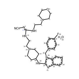 N#C/N=C(/NCCN1CCOCC1)NCCN1CCC(Nc2nc3ccccc3n2Cc2ccc(F)cc2)CC1.O